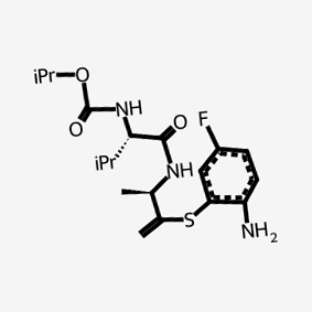 C=C(Sc1cc(F)ccc1N)[C@@H](C)NC(=O)[C@@H](NC(=O)OC(C)C)C(C)C